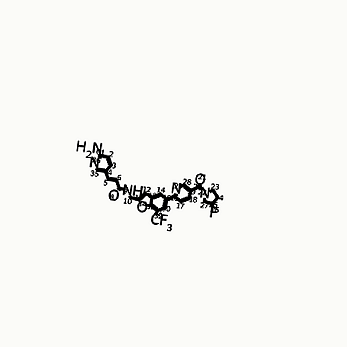 Nc1ccc(C=CC(=O)NCc2cc3cc(-c4ccc(C(=O)N5CCC(F)C5)cn4)cc(C(F)(F)F)c3o2)cn1